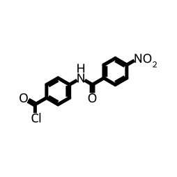 O=C(Cl)c1ccc(NC(=O)c2ccc([N+](=O)[O-])cc2)cc1